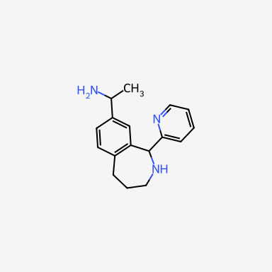 CC(N)c1ccc2c(c1)C(c1ccccn1)NCCC2